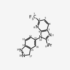 CC(C)c1nc2ccc(C(F)(F)F)nc2n1-c1ccc2c(c1)CN=N2